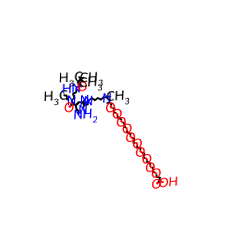 CCCN(CCCNC(=O)CC(C)(C)C)C(=O)C1=Cc2nn(CCCCCN(C)CCOCCOCCOCCOCCOCCOCCOCCOCCOCCOCCC(=O)O)cc2N=C(N)C1